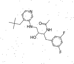 CC(=O)NC(Cc1cc(F)cc(F)c1)C(O)CNc1cnccc1CC(C)(C)C